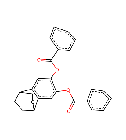 O=C(Oc1cc2c(cc1OC(=O)c1ccccc1)C1CCC2CC1)c1ccccc1